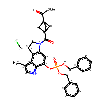 COC(=O)C12CC(C(=O)N3C[C@@H](CCl)c4c3cc(OP(=O)(OCc3ccccc3)OCc3ccccc3)c3[nH]cc(C)c43)(C1)C2